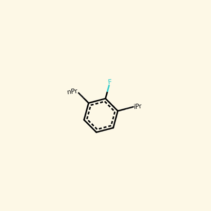 [CH2]C(C)c1cccc(CCC)c1F